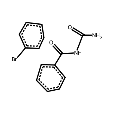 Brc1ccccc1.NC(=O)NC(=O)c1ccccc1